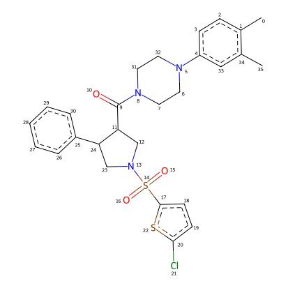 Cc1ccc(N2CCN(C(=O)C3CN(S(=O)(=O)c4ccc(Cl)s4)CC3c3ccccc3)CC2)cc1C